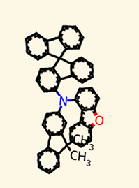 CC1(C)c2ccccc2-c2ccc(N(c3cccc4c3-c3ccccc3C43c4ccccc4-c4ccccc43)c3cccc4oc5ccccc5c34)cc21